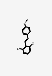 COc1ccc(/C=C/c2c(Cl)cccc2Cl)cc1